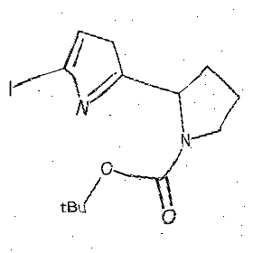 CC(C)(C)OC(=O)N1CCCC1C1=NC(I)=CC1